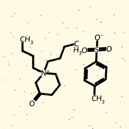 CCCC[N+]1(CCCC)CCCC(=O)C1.Cc1ccc(S(=O)(=O)[O-])cc1